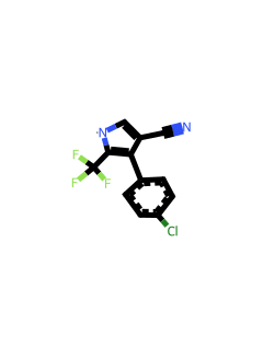 N#CC1=C[N]C(C(F)(F)F)=C1c1ccc(Cl)cc1